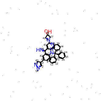 Cn1cc(-c2ccc(NC(c3ccccc3)(c3ccccc3)c3ccccc3)c(C(=N)c3ccnc(N4CC(O)C4)c3)c2)cn1